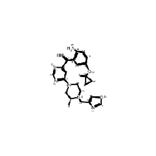 C[C@H]1CN(c2cc(C(=N)c3cc(OC4(C)CC4)ccc3N)ncn2)CCN1Cc1cocn1